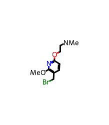 CNCCOc1ccc(CBr)c(OC)n1